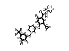 CS(=O)(=O)NC(=O)c1cc(C2CC2)c(O[C@@H]2CCCN(Cc3cc(C(F)(F)F)cc(Cl)c3F)C2)cc1F